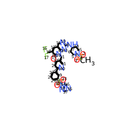 CS(=O)(=O)N1CCC(Nc2ncc3cc(C(F)F)c(=O)n(Cc4ccc(-c5cccc(S(=O)(=O)n6cncn6)c5)nc4)c3n2)CC1